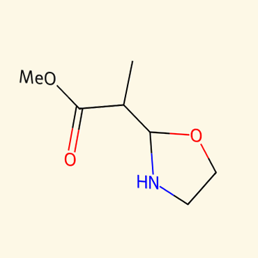 COC(=O)C(C)C1NCCO1